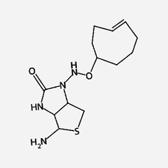 NC1SCC2C1NC(=O)N2NOC1CC/C=C/CCC1